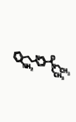 CCN(CC)C(=O)c1ccc(CCc2ccccc2N)nc1